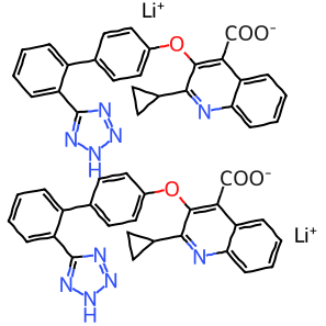 O=C([O-])c1c(Oc2ccc(-c3ccccc3-c3nn[nH]n3)cc2)c(C2CC2)nc2ccccc12.O=C([O-])c1c(Oc2ccc(-c3ccccc3-c3nn[nH]n3)cc2)c(C2CC2)nc2ccccc12.[Li+].[Li+]